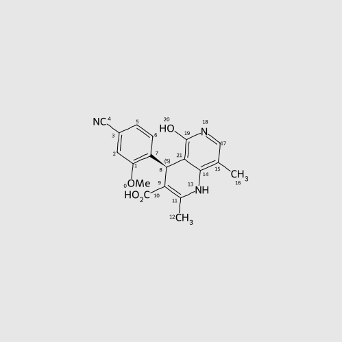 COc1cc(C#N)ccc1[C@@H]1C(C(=O)O)=C(C)Nc2c(C)cnc(O)c21